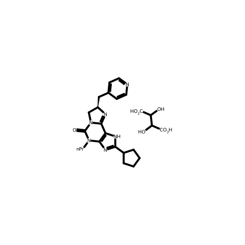 CCCN1C(=O)N2C[C@@H](Cc3ccncc3)N=C2c2[nH]c(C3CCCC3)nc21.O=C(O)C(O)C(O)C(=O)O